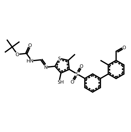 Cc1sc(N=CNC(=O)OC(C)(C)C)c(S)c1S(=O)(=O)c1cccc(-c2cccc(C=O)c2C)c1